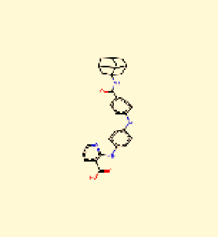 O=C(NC12CC3CC(CC(C3)C1)C2)c1ccc(Nc2ccc(Nc3ncccc3C(=O)O)cc2)cc1